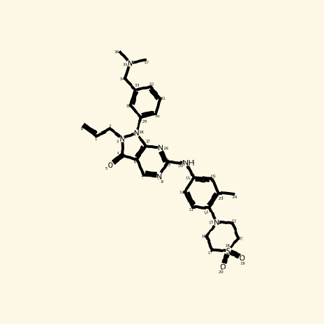 C=CCn1c(=O)c2cnc(Nc3ccc(N4CCS(=O)(=O)CC4)c(C)c3)nc2n1-c1cccc(CN(C)C)c1